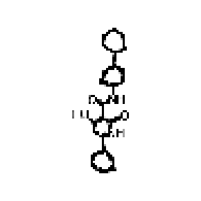 O=C(Nc1ccc(C2CCCCC2)cc1)c1c(O)cc(-c2ccccc2)[nH]c1=O